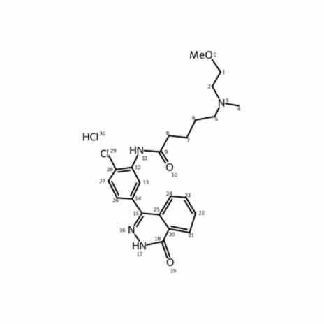 COCCN(C)CCCCC(=O)Nc1cc(-c2n[nH]c(=O)c3ccccc23)ccc1Cl.Cl